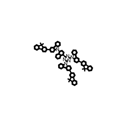 CC1(C)c2ccccc2-c2ccc(-c3ccc4c(c3)c3ccccc3n4-c3nc(-c4ccc(-n5c6ccccc6c6cc(-c7ccc8c(c7)C(C)(C)c7ccccc7-8)ccc65)c5ccccc45)nc(-n4c5ccccc5c5cc(-c6ccc7c(c6)C(C)(C)c6ccccc6-7)ccc54)n3)cc21